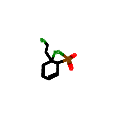 O=S(=O)(Cl)C1C=CC=CC1(Br)CCBr